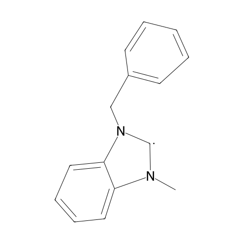 CN1[CH]N(Cc2ccccc2)c2ccccc21